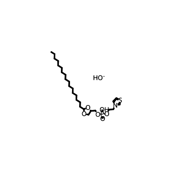 CCCCCCCCCCCCCCCCCC1OCC(COP(=O)(O)OCC[n+]2ccsc2)O1.[OH-]